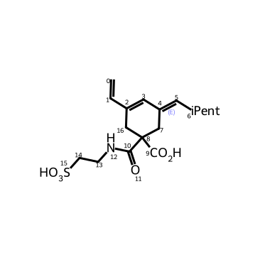 C=CC1=C/C(=C/C(C)CCC)CC(C(=O)O)(C(=O)NCCS(=O)(=O)O)C1